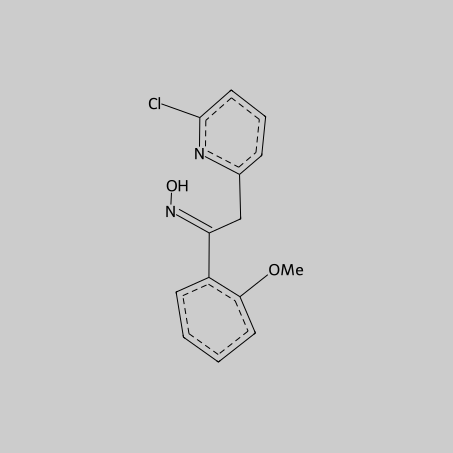 COc1ccccc1/C(Cc1cccc(Cl)n1)=N/O